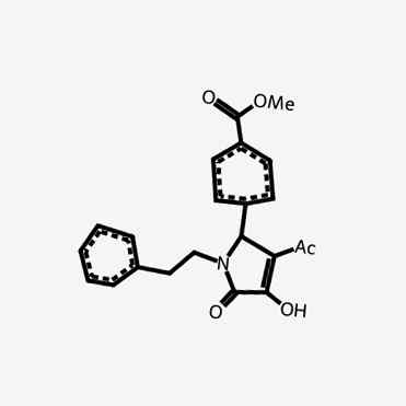 COC(=O)c1ccc(C2C(C(C)=O)=C(O)C(=O)N2CCc2ccccc2)cc1